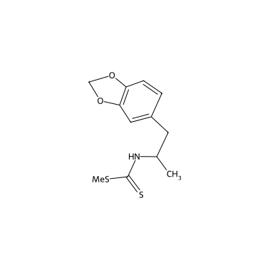 CSC(=S)NC(C)Cc1ccc2c(c1)OCO2